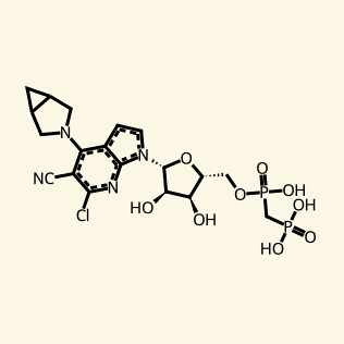 N#Cc1c(Cl)nc2c(ccn2[C@@H]2O[C@H](COP(=O)(O)CP(=O)(O)O)[C@@H](O)[C@H]2O)c1N1CC2CC2C1